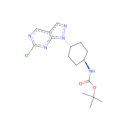 CC(C)(C)OC(=O)N[C@H]1CC[C@H](n2ncc3cnc(Cl)nc32)CC1